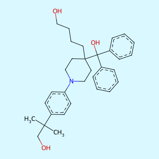 CC(C)(CO)c1ccc(N2CCC(CCCCO)(C(O)(c3ccccc3)c3ccccc3)CC2)cc1